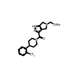 COCN1Cc2[nH]nc(C(=O)N3CCC(c4ccccc4C(F)(F)F)CC3)c2C1